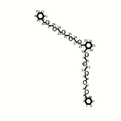 c1ccc(COCCOCCOCCOCCOCc2ccccc2COCCOCCOCCOCCOCc2ccccc2)cc1